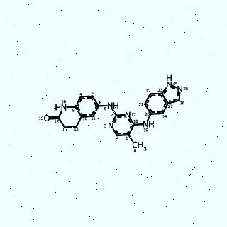 Cc1cnc(Nc2ccc3c(c2)CCC(=O)N3)nc1Nc1ccc2[nH]ncc2c1